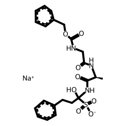 C[C@H](NC(=O)CNC(=O)OCc1ccccc1)C(=O)NC(O)(CCc1ccccc1)S(=O)(=O)[O-].[Na+]